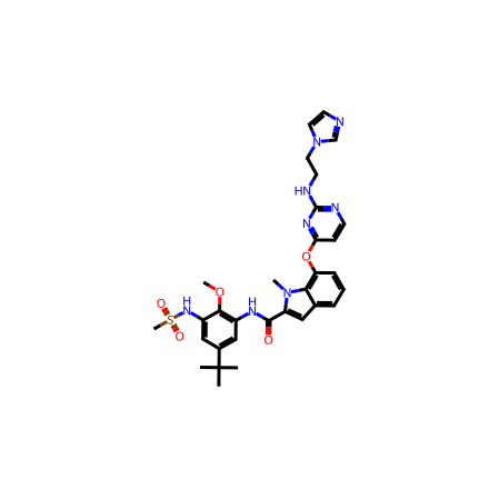 COc1c(NC(=O)c2cc3cccc(Oc4ccnc(NCCn5ccnc5)n4)c3n2C)cc(C(C)(C)C)cc1NS(C)(=O)=O